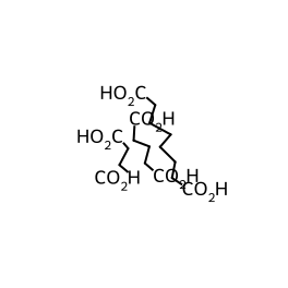 O=C(O)CCC(=O)O.O=C(O)CCCC(=O)O.O=C(O)CCCCCCC(=O)O